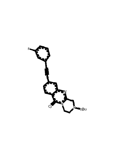 CCCCN1CCn2c(nc3cc(C#Cc4cccc(F)c4)ccc3c2=O)C1